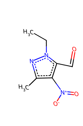 CCn1nc(C)c([N+](=O)[O-])c1C=O